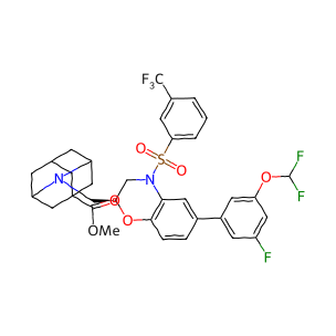 COC(=O)C12CC3CC(C1)N(C[C@H]1CN(S(=O)(=O)c4cccc(C(F)(F)F)c4)c4cc(-c5cc(F)cc(OC(F)F)c5)ccc4O1)C(C3)C2